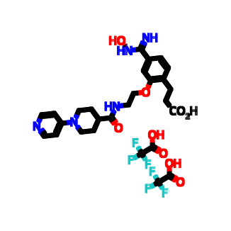 N=C(NO)c1ccc(CCC(=O)O)c(OCCNC(=O)C2CCN(c3ccncc3)CC2)c1.O=C(O)C(F)(F)F.O=C(O)C(F)(F)F